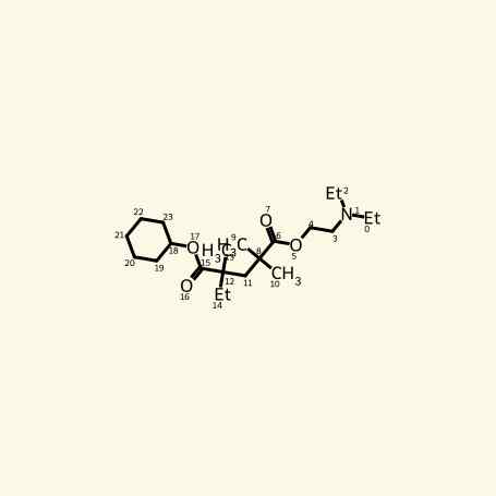 CCN(CC)CCOC(=O)C(C)(C)CC(C)(CC)C(=O)OC1CCCCC1